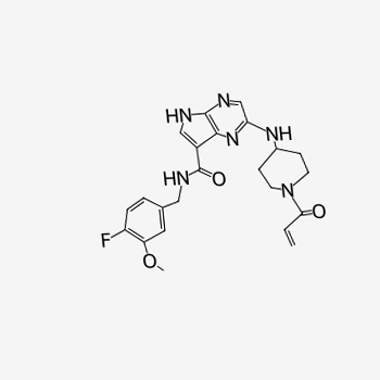 C=CC(=O)N1CCC(Nc2cnc3[nH]cc(C(=O)NCc4ccc(F)c(OC)c4)c3n2)CC1